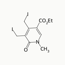 CCOC(=O)c1cn(C)c(=O)c(CI)c1CI